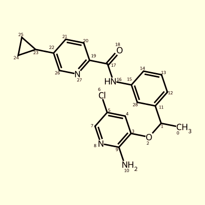 CC(Oc1cc(Cl)cnc1N)c1cccc(NC(=O)c2ccc(C3CC3)cn2)c1